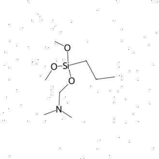 CCC[Si](OC)(OC)OCN(C)C